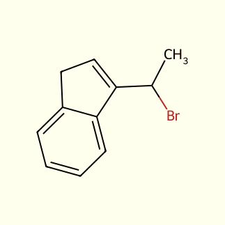 CC(Br)C1=CCc2ccccc21